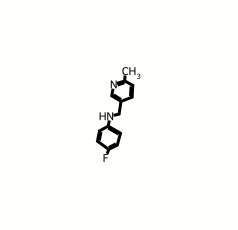 Cc1ccc(CNc2ccc(F)cc2)cn1